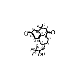 CC1(C)CC(=O)N2CCNCc3cc(Cl)cc1c32.O=C(O)C(F)(F)F